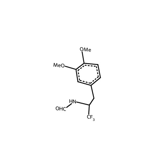 COc1ccc(CC(NC=O)C(F)(F)F)cc1OC